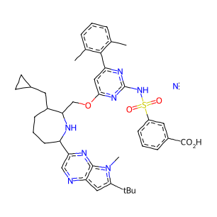 Cc1cccc(C)c1-c1cc(OCC2NC(c3cnc4cc(C(C)(C)C)n(C)c4n3)CCCC2CC2CC2)nc(NS(=O)(=O)c2cccc(C(=O)O)c2)n1.[N]